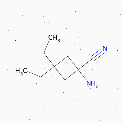 CCC1(CC)CC(N)(C#N)C1